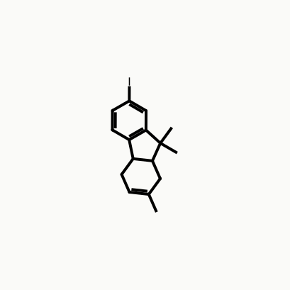 CC1=CCC2c3ccc(I)cc3C(C)(C)C2C1